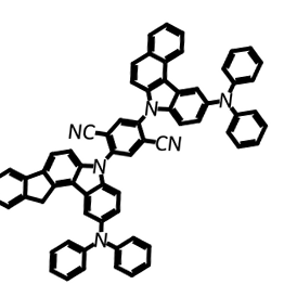 N#Cc1cc(-n2c3ccc(N(c4ccccc4)c4ccccc4)cc3c3c4ccccc4ccc32)c(C#N)cc1-n1c2ccc(N(c3ccccc3)c3ccccc3)cc2c2c3c(ccc21)-c1ccccc1C3